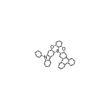 c1ccc(-n2c3ccccc3c3cc4c(cc32)Oc2cccc3c2B4c2cc4c5ccccc5c5ccccc5c4cc2O3)cc1